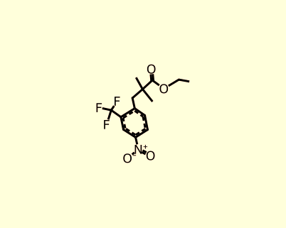 CCOC(=O)C(C)(C)Cc1ccc([N+](=O)[O-])cc1C(F)(F)F